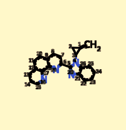 C=C1CC1n1c(-c2ccc3ccc4cccnc4c3n2)nc2ccccc21